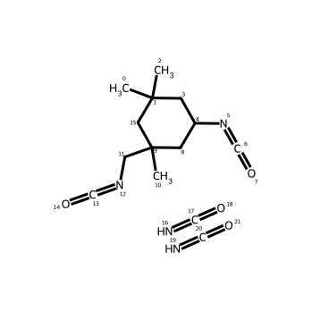 CC1(C)CC(N=C=O)CC(C)(CN=C=O)C1.N=C=O.N=C=O